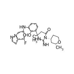 C[C@@H]1C[C@H](N2C(=N)N[C@](C)(c3cccc(Nc4cc(F)c5ccnn5c4)c3O)CC2=O)CCO1